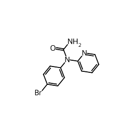 NC(=O)N(c1ccc(Br)cc1)c1ccccn1